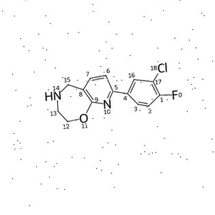 Fc1ccc(-c2ccc3c(n2)OCCNC3)cc1Cl